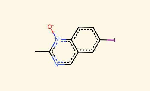 Cc1ncc2cc(I)ccc2[n+]1[O-]